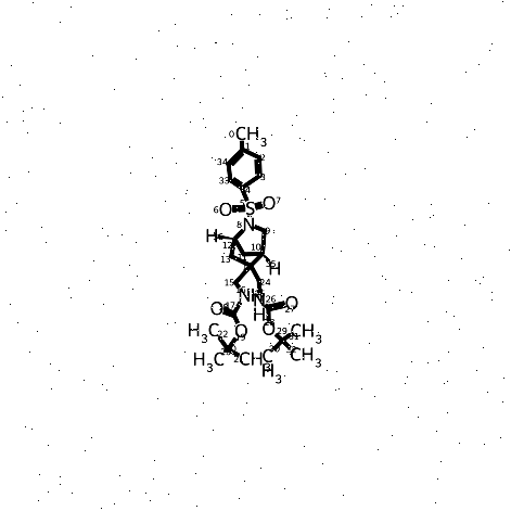 Cc1ccc(S(=O)(=O)N2C[C@H]3C[C@@H]2CC3(CNC(=O)OC(C)(C)C)CNC(=O)OC(C)(C)C)cc1